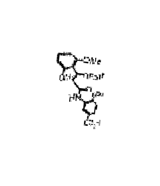 CCCCCC(CC(=O)Nc1cc(C(=O)O)ccc1CCCC)c1c(OC)cccc1OC